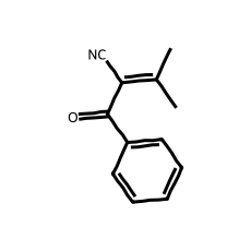 CC(C)=C(C#N)C(=O)c1ccccc1